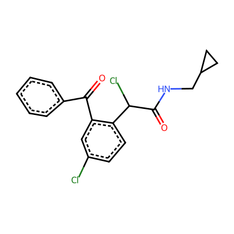 O=C(c1ccccc1)c1cc(Cl)ccc1C(Cl)C(=O)NCC1CC1